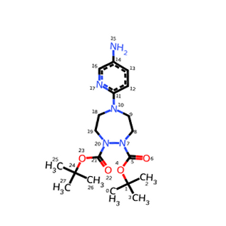 CC(C)(C)OC(=O)N1CCN(c2ccc(N)cn2)CCN1C(=O)OC(C)(C)C